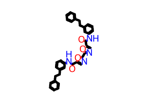 O=C(Nc1cccc(CCc2ccccc2)c1)c1cnc(-c2ncc(C(=O)Nc3cccc(CCc4ccccc4)c3)o2)o1